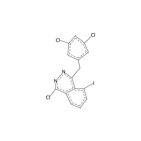 Clc1cc(Cl)cc(Cc2nnc(Cl)c3cccc(I)c23)c1